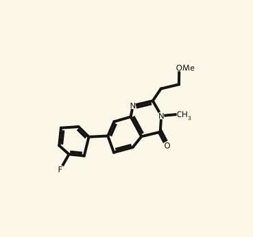 COCCc1nc2cc(-c3cccc(F)c3)ccc2c(=O)n1C